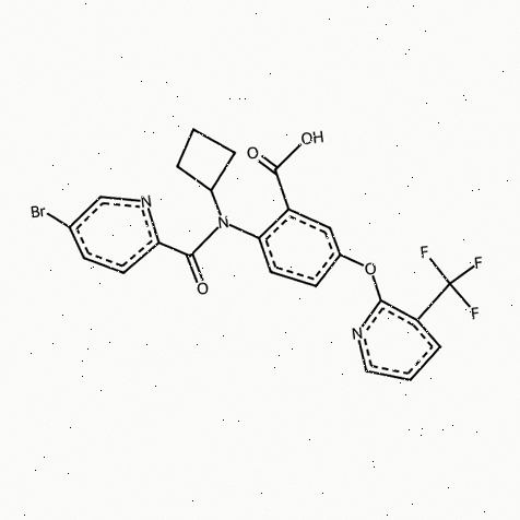 O=C(O)c1cc(Oc2ncccc2C(F)(F)F)ccc1N(C(=O)c1ccc(Br)cn1)C1CCC1